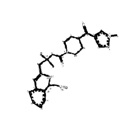 Cn1cc(C(=O)C2CCN(C(=O)CC(C)(C)CC3=Cc4ccccc4C(C=O)N3)CC2)cn1